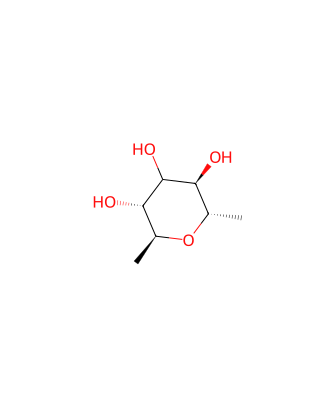 C[C@@H]1O[C@@H](C)[C@H](O)C(O)[C@H]1O